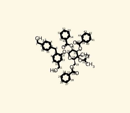 CCc1ccc(Cc2ccc(CO)cc2O[C@H]2O[C@H](COC(=O)c3ccccc3)[C@@](C)(OC(C)=O)[C@H](OC(=O)c3ccccc3)[C@H]2OC(=O)c2ccccc2)cc1